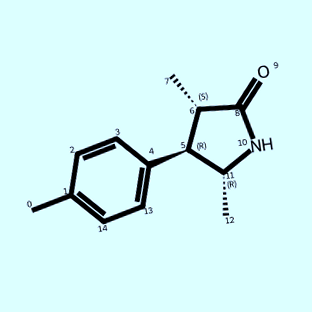 Cc1ccc([C@H]2[C@H](C)C(=O)N[C@@H]2C)cc1